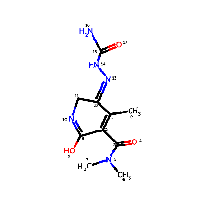 CC1=C(C(=O)N(C)C)C(O)=NCC1=NNC(N)=O